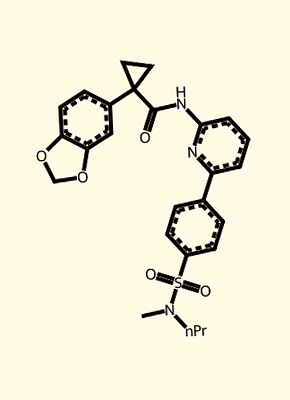 CCCN(C)S(=O)(=O)c1ccc(-c2cccc(NC(=O)C3(c4ccc5c(c4)OCO5)CC3)n2)cc1